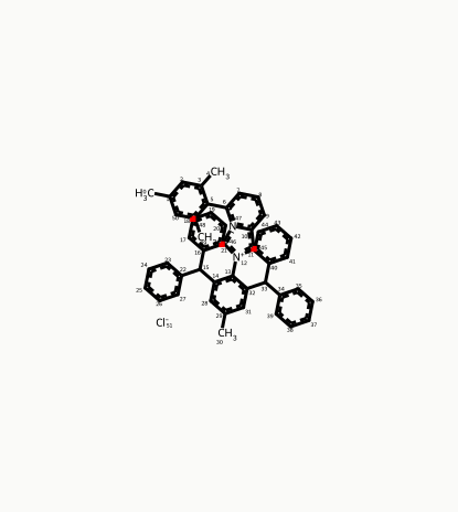 Cc1cc(C)c(-c2cccc3c[n+](-c4c(C(c5ccccc5)c5ccccc5)cc(C)cc4C(c4ccccc4)c4ccccc4)cn23)c(C)c1.[Cl-]